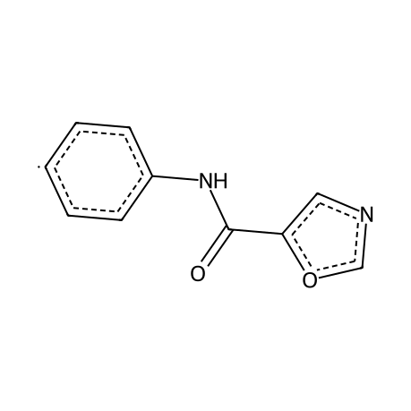 O=C(Nc1cc[c]cc1)c1cnco1